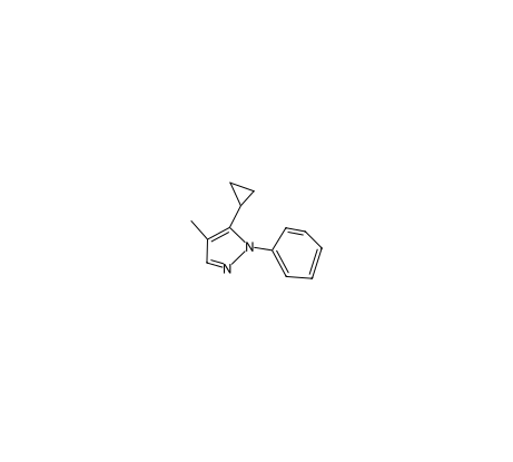 Cc1cnn(-c2ccccc2)c1C1CC1